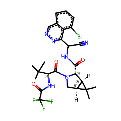 CC(C)(C)[C@H](NC(=O)C(F)(F)F)C(=O)N1C[C@H]2[C@@H]([C@H]1C(=O)NC(C#N)c1nncc3cccc(Br)c13)C2(C)C